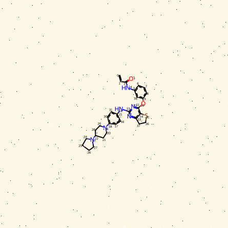 C=CC(=O)Nc1cccc(Oc2nc(Nc3ccc(N4CCC(N5CCCC5)CC4)cc3)nc3c2SCC3)c1